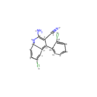 N#Cc1c(N)nc2ccc(Cl)cc2c1-c1ccccc1Cl